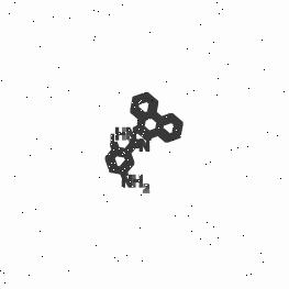 Nc1ccc(I)c(-c2nc3c4ccccc4c4ccccc4c3[nH]2)c1